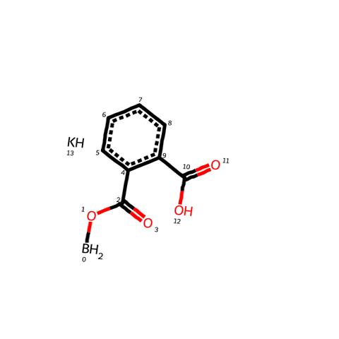 BOC(=O)c1ccccc1C(=O)O.[KH]